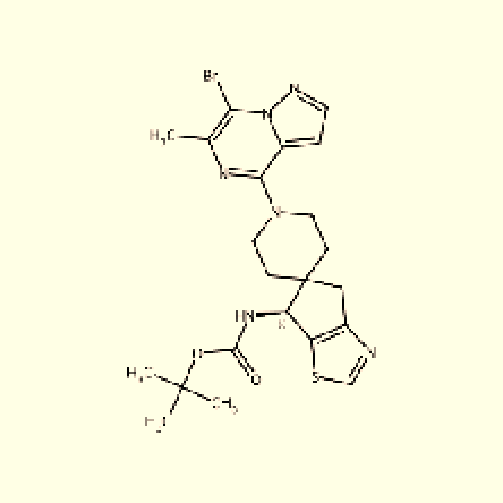 Cc1nc(N2CCC3(CC2)Cc2ncsc2[C@H]3NC(=O)OC(C)(C)C)c2ccnn2c1Br